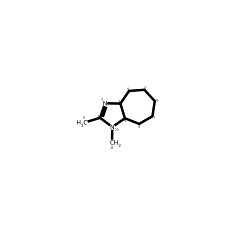 CC1=NC2CCCCCC2N1C